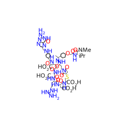 CNC(=O)[C@@H](NC(=O)COc1ccc(/C(C)=N\NC(=O)CCN2C(=O)CC(SCC(NC(=O)[C@@H](CC(=O)O)NC(=O)[C@@H](CCCNC(=N)N)NC(=O)[C@H](CC(=O)O)NC(=O)CC[C@H](NC(=O)c3ccc(NCc4cnc5nc(N)[nH]c(=O)c5n4)cc3)C(=O)O)C(=O)O)C2=O)cc1)C(C)C